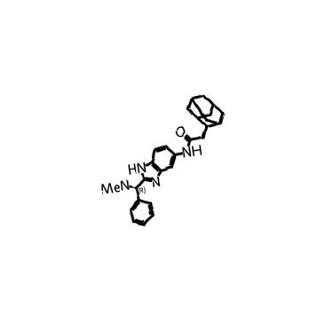 CN[C@H](c1ccccc1)c1nc2cc(NC(=O)CC3C4CC5CC(C4)CC3C5)ccc2[nH]1